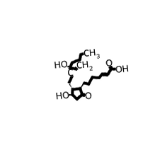 C=C[C@@](O)(CCCC)CCC[C@H]1[C@H](O)CC(=O)[C@@H]1CCCCC=CC(=O)O